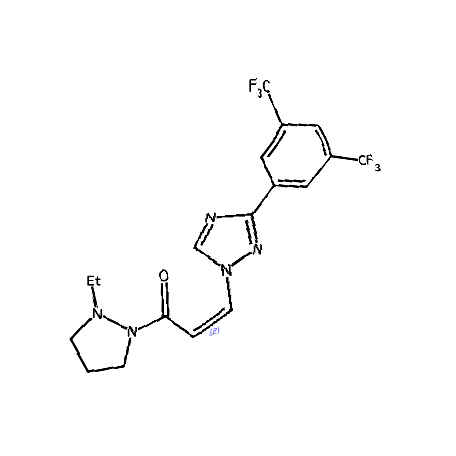 CCN1CCCN1C(=O)/C=C\n1cnc(-c2cc(C(F)(F)F)cc(C(F)(F)F)c2)n1